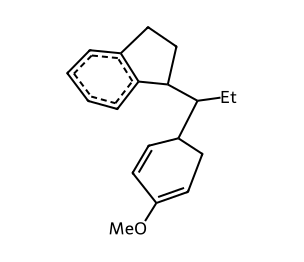 CCC(C1C=CC(OC)=CC1)C1CCc2ccccc21